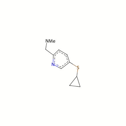 CNCc1ccc(SC2CC2)cn1